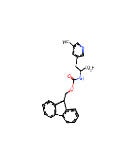 N#Cc1cncc(C[C@H](NC(=O)OCC2c3ccccc3-c3ccccc32)C(=O)O)c1